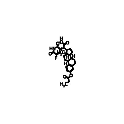 CCC(=O)Oc1ccc2c(c1)CC[C@@H]1[C@@H]2CC[C@]2(C)[C@@H](C(C(=O)O)n3cc(F)c(=O)[nH]c3=O)CC[C@@H]12